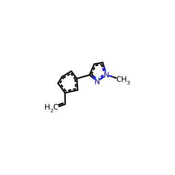 C=Cc1cccc(-c2ccn(C)n2)c1